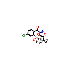 CC1(c2cc(C(=O)c3ccc(Cl)cc3S(C)(=O)=O)no2)CC1